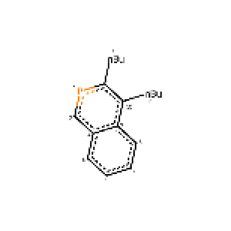 CCCCc1p[c]c2ccccc2c1CCCC